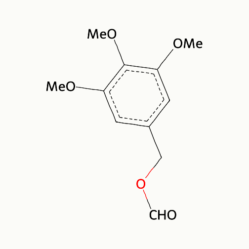 COc1cc(COC=O)cc(OC)c1OC